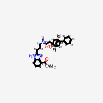 COC(=O)c1cccc2[nH]c(CCCN(C)CC[C@]3(O)C[C@H]4CC[C@@H]3C=C4c3ccccc3)nc12